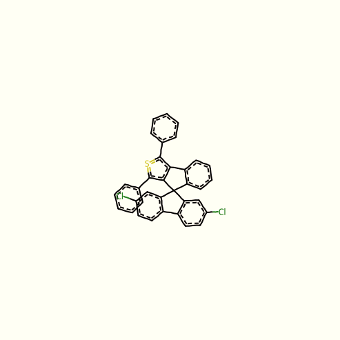 Clc1ccc2c(c1)C1(c3cc(Cl)ccc3-2)c2ccccc2-c2c(-c3ccccc3)sc(-c3ccccc3)c21